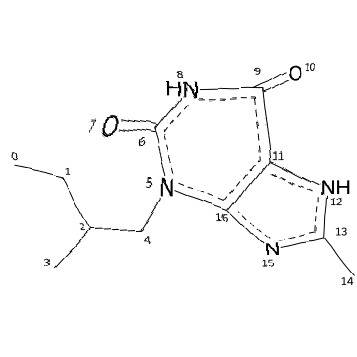 CCC(C)Cn1c(=O)[nH]c(=O)c2[nH]c(C)nc21